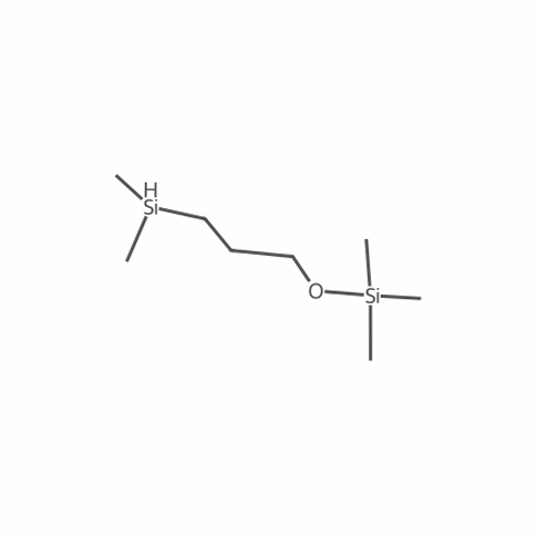 C[SiH](C)CCCO[Si](C)(C)C